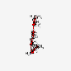 C=C(C)C(=O)OCCOC(=O)c1ccc(CSC2(P(=O)(OCC)OCC)SCCC2/C=C\CCCCCCCCCCCC23C=CC(C2)C(SCc2ccc(C(=O)OCCOC(=O)c4ccc(CSC5(P(=O)(OCC)OCC)SC6(CCCCCCCCCCC78CCC(C7)C(SCc7ccc(C(=O)OCCOC(=O)C(=C)C)cc7)(P(=O)(OCC)OCC)S8)C=CC5C6)cc4)cc2)(P(=O)(OCC)OCC)S3)cc1